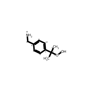 CC(C)(OO)c1ccc(CN)cc1